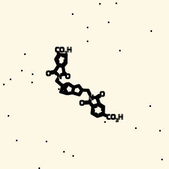 O=C(O)c1ccc2c(c1)C(=O)N(CC1CC3C4CC(CN5C(=O)c6ccc(C(=O)O)cc6C5=O)C(C4)C3C1)C2=O